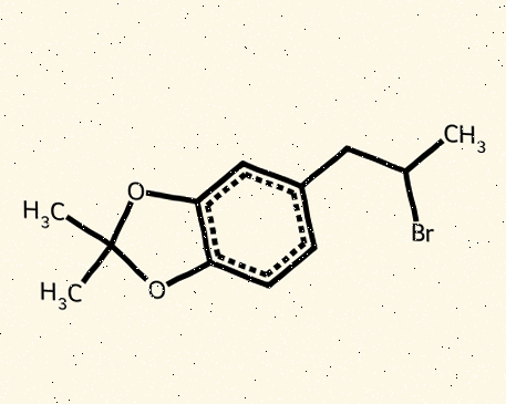 CC(Br)Cc1ccc2c(c1)OC(C)(C)O2